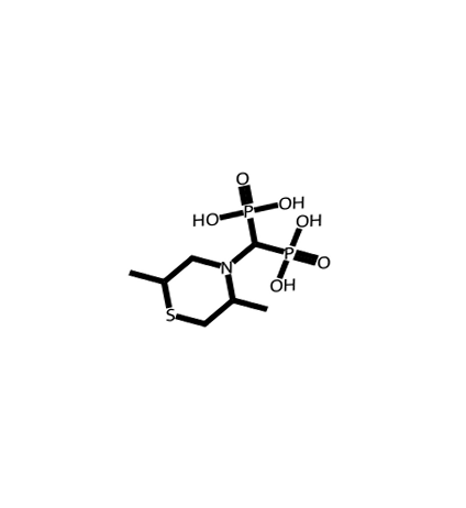 CC1CN(C(P(=O)(O)O)P(=O)(O)O)C(C)CS1